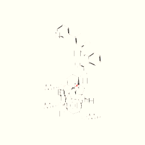 CCN1C[C@]2(OC(=O)c3ccccc3NC(=O)/C=C(\C)c3cccnc3)CC[C@H](OC)[C@]34C1[C@@H](C[C@H]23)[C@@]1(O)C[C@H](OC)C[C@H]2C[C@@H]4[C@]1(O)[C@H]2OC